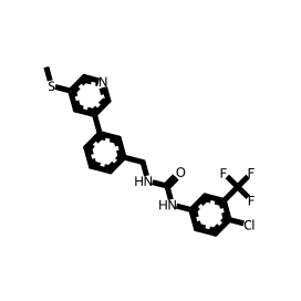 CSc1cncc(-c2cccc(CNC(=O)Nc3ccc(Cl)c(C(F)(F)F)c3)c2)c1